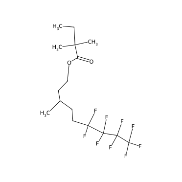 CCC(C)(C)C(=O)OCCC(C)CCC(F)(F)C(F)(F)C(F)(F)C(F)(F)F